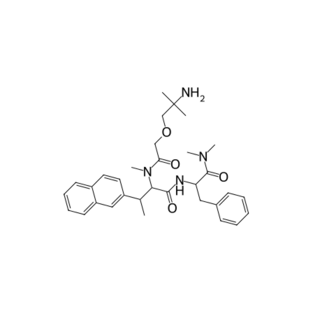 CC(c1ccc2ccccc2c1)C(C(=O)NC(Cc1ccccc1)C(=O)N(C)C)N(C)C(=O)COCC(C)(C)N